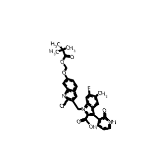 Cc1cc2c(-c3ccc[nH]c3=O)c(C(=O)O)n(Cc3cc4ccc(OCOC(=O)C(C)(C)C)cc4nc3Cl)c2cc1F